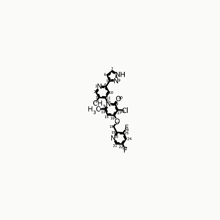 Cc1cnc(-c2cc[nH]n2)cc1-n1c(C)cc(OCc2ncc(F)cc2F)c(Cl)c1=O